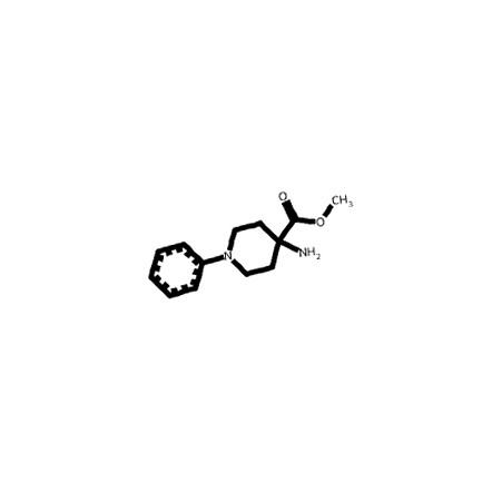 COC(=O)C1(N)CCN(c2ccccc2)CC1